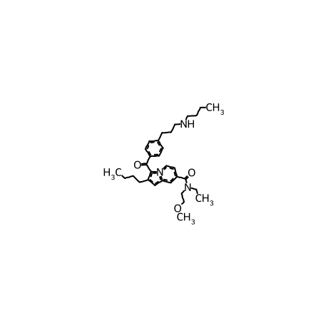 CCCCNCCCc1ccc(C(=O)c2c(CCCC)cc3cc(C(=O)N(CC)CCOC)ccn23)cc1